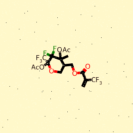 C=C(C(=O)OCC1COC(OC(C)=O)(C(F)(F)F)C(F)(F)C1(C)OC(C)=O)C(F)(F)F